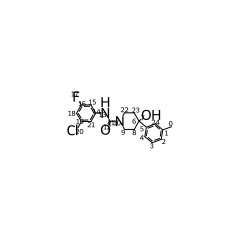 Cc1cccc(C2(O)CCN(C(=O)Nc3cc(F)cc(Cl)c3)CC2)c1